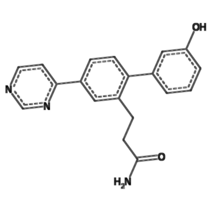 NC(=O)CCc1cc(-c2ccncn2)ccc1-c1cccc(O)c1